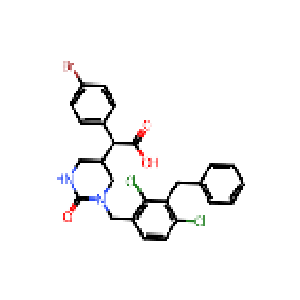 O=C(O)C(c1ccc(Br)cc1)C1CNC(=O)N(Cc2ccc(Cl)c(Cc3ccccc3)c2Cl)C1